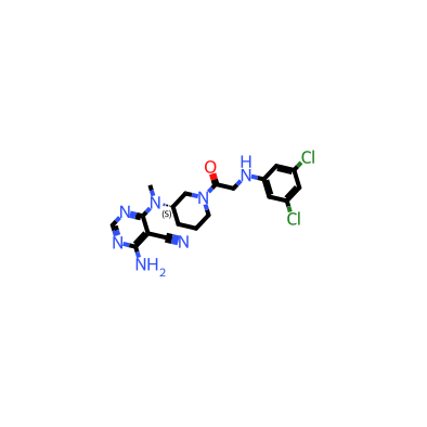 CN(c1ncnc(N)c1C#N)[C@H]1CCCN(C(=O)CNc2cc(Cl)cc(Cl)c2)C1